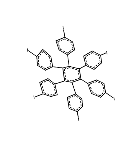 Ic1ccc(-c2c(-c3ccc(I)cc3)c(-c3ccc(I)cc3)c(-c3ccc(I)cc3)c(-c3ccc(I)cc3)c2-c2ccc(I)cc2)cc1